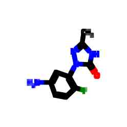 Cc1nn(-c2cc(N)ccc2F)c(=O)[nH]1